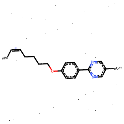 CCCC/C=C\CCCCOc1ccc(-c2ncc(CCCCCCCC)cn2)cc1